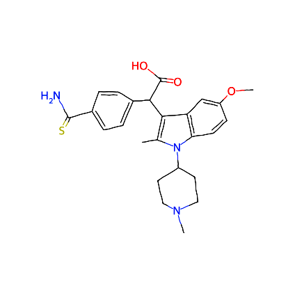 COc1ccc2c(c1)c(C(C(=O)O)c1ccc(C(N)=S)cc1)c(C)n2C1CCN(C)CC1